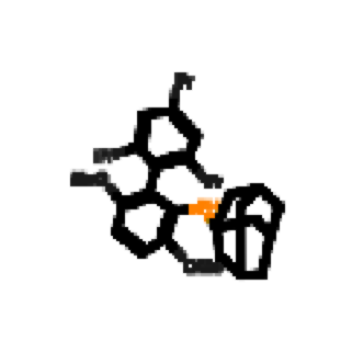 COc1ccc(OC)c(-c2c(C(C)C)cc(C(C)C)cc2C(C)C)c1PC12CC3CC(CC(C3)C1)C2